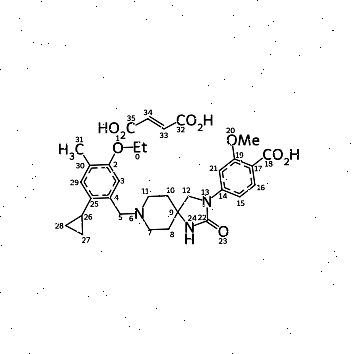 CCOc1cc(CN2CCC3(CC2)CN(c2ccc(C(=O)O)c(OC)c2)C(=O)N3)c(C2CC2)cc1C.O=C(O)C=CC(=O)O